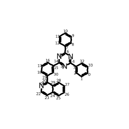 c1ccc(-c2nc(-c3ccccc3)nc(-c3cccc(-c4nccc5ccccc45)c3)n2)cc1